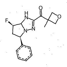 CC1(C(=O)C2=NN3C(N2)[C@H](F)C[C@@H]3c2ccccc2)COC1